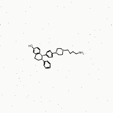 NCCCCN1CCN(c2ccc([C@@H]3c4ccc(O)cc4CC[C@@H]3c3ccccc3)cc2)CC1